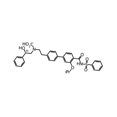 CC(C)Oc1cc(-c2ccc(CCN(C[C@H](O)c3ccccc3)C(=O)O)cc2)ccc1C(=O)NS(=O)(=O)c1ccccc1